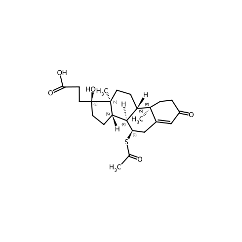 CC(=O)S[C@@H]1CC2=CC(=O)CC[C@]2(C)[C@H]2CC[C@@]3(C)[C@@H](CC[C@]3(O)CCC(=O)O)[C@H]12